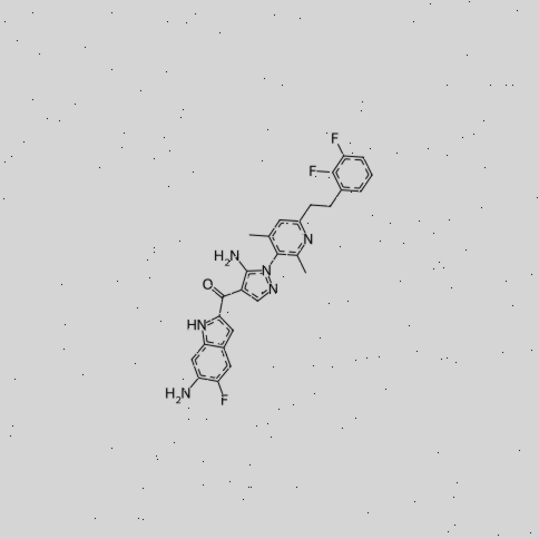 Cc1cc(CCc2cccc(F)c2F)nc(C)c1-n1ncc(C(=O)c2cc3cc(F)c(N)cc3[nH]2)c1N